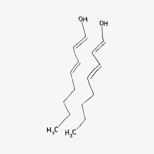 CCCC/C=C/C=C/O.CCCC/C=C/C=C/O